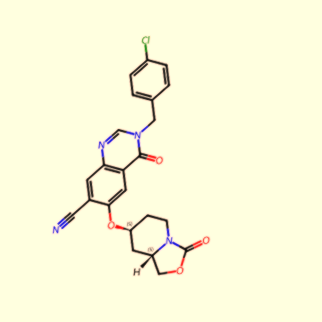 N#Cc1cc2ncn(Cc3ccc(Cl)cc3)c(=O)c2cc1O[C@H]1CCN2C(=O)OC[C@@H]2C1